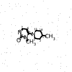 CC1CCN(c2ccnc(=O)n2C)CC1